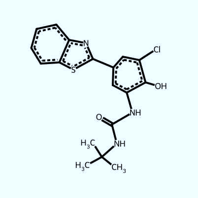 CC(C)(C)NC(=O)Nc1cc(-c2nc3ccccc3s2)cc(Cl)c1O